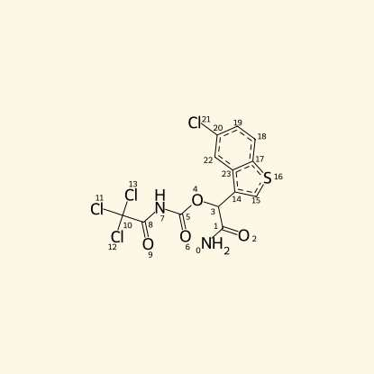 NC(=O)C(OC(=O)NC(=O)C(Cl)(Cl)Cl)c1csc2ccc(Cl)cc12